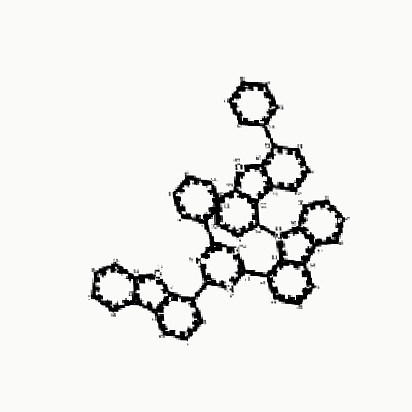 c1ccc(-c2nc(-c3cccc4c3oc3ccccc34)nc(-c3cccc4c5ccccc5n(-c5cccc6oc7c(-c8ccccc8)cccc7c56)c34)n2)cc1